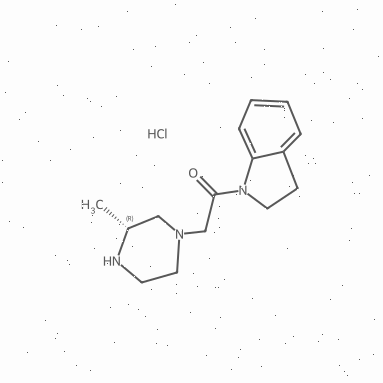 C[C@@H]1CN(CC(=O)N2CCc3ccccc32)CCN1.Cl